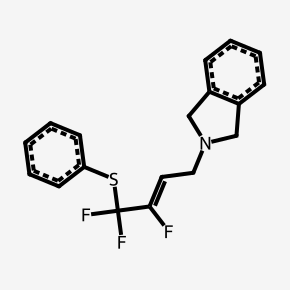 FC(=CCN1Cc2ccccc2C1)C(F)(F)Sc1ccccc1